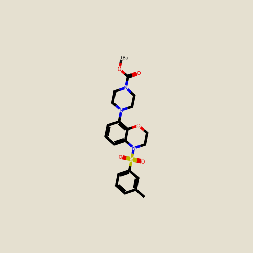 Cc1cccc(S(=O)(=O)N2CCOc3c(N4CCN(C(=O)OC(C)(C)C)CC4)cccc32)c1